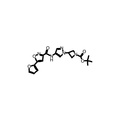 CC(C)(C)OC(=O)N1CC(n2cc(NC(=O)c3cc(-c4ccco4)on3)cn2)C1